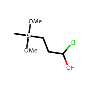 CO[Si](C)(CCC(O)Cl)OC